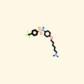 CN(C)CCCCCCOC1CCC(N(C)S(=O)(=O)c2ccc(C(F)(F)F)cc2)CC1